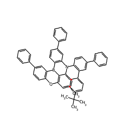 Cc1cc2c3c(c1)N(c1ccc(-c4ccccc4)cc1-c1ccc(C(C)(C)C)cc1)c1cc(-c4ccccc4)ccc1B3c1cc(-c3ccccc3)ccc1O2